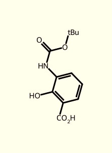 CC(C)(C)OC(=O)Nc1cccc(C(=O)O)c1O